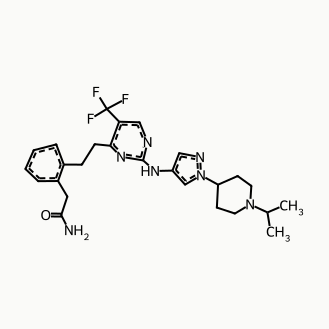 CC(C)N1CCC(n2cc(Nc3ncc(C(F)(F)F)c(CCc4ccccc4CC(N)=O)n3)cn2)CC1